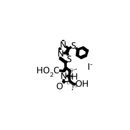 C[C@@H](O)[C@H]1C(=O)N2C(C(=O)O)=C(c3c[n+]4cn(C)c(Sc5ccccc5)c4s3)[C@H](C)[C@H]12.[I-]